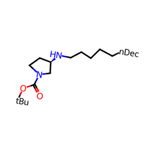 CCCCCCCCCCCCCCCN[C@@H]1CCN(C(=O)OC(C)(C)C)C1